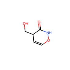 O=C1NOC=CC1CO